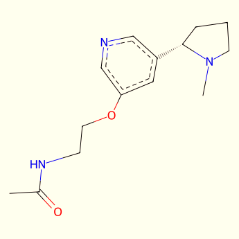 CC(=O)NCCOc1cncc([C@@H]2CCCN2C)c1